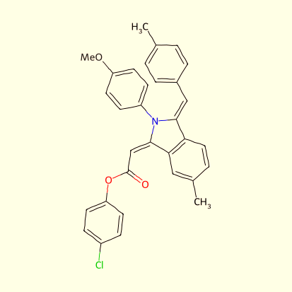 COc1ccc(-n2c(=CC(=O)Oc3ccc(Cl)cc3)c3cc(C)ccc3/c2=C/c2ccc(C)cc2)cc1